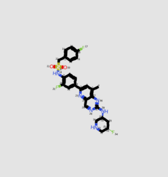 Cc1cc(-c2ccc(NS(=O)(=O)Cc3ccc(F)cc3)c(F)c2)nc2cnc(N[C@@H]3CNC[C@@H](F)C3)nc12